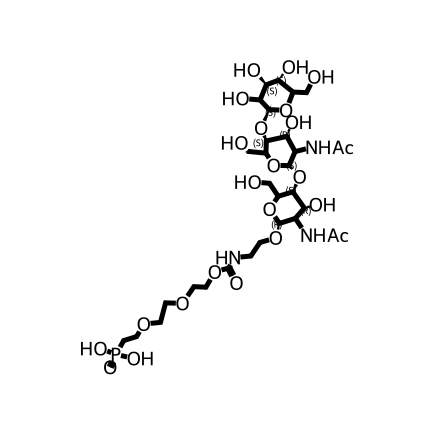 CC(=O)NC1[C@H](O[C@@H]2C(CO)O[C@@H](OCCNC(=O)OCCOCCOCCP(=O)(O)O)C(NC(C)=O)[C@H]2O)OC(CO)[C@@H](O[C@@H]2OC(CO)[C@@H](O)[C@H](O)C2O)[C@@H]1O